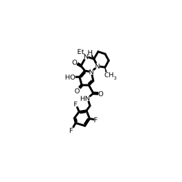 CCN1C(=O)c2c(O)c(=O)c(C(=O)NCc3c(F)cc(F)cc3F)cn2N2[C@H](C)CCC[C@@H]12